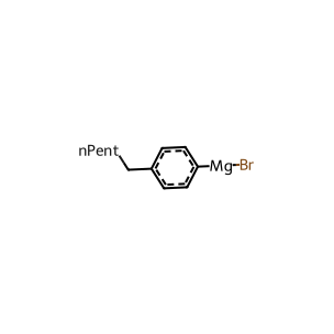 CCCCCCc1cc[c]([Mg][Br])cc1